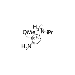 COC[C@@H]1C[C@H](N(C)C(C)C)CC[C@@H]1N